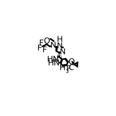 CC1(Oc2cc3c(cc2F)NN[C@H]3C2=NCNC(N3CCOC(C(F)(F)F)C3)=C2)CC1